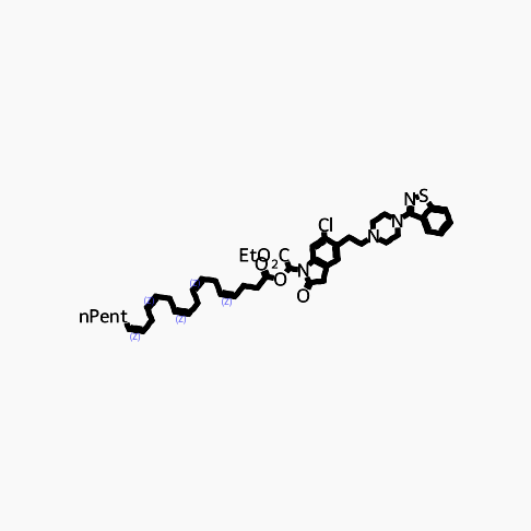 CCCCC/C=C\C/C=C\C/C=C\C/C=C\C/C=C\CCC(=O)OC(C(=O)OCC)N1C(=O)Cc2cc(CCN3CCN(c4nsc5ccccc45)CC3)c(Cl)cc21